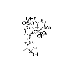 Cc1ccc(S(=O)(=O)O)cc1.Cc1cccc(S(=O)(=O)O)c1.Oc1ccccc1.[Ni]